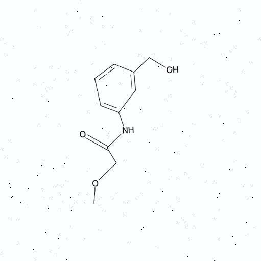 COCC(=O)Nc1cccc(CO)c1